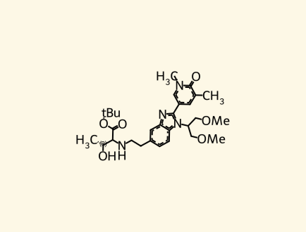 COCC(COC)n1c(-c2cc(C)c(=O)n(C)c2)nc2cc(CCNC(C(=O)OC(C)(C)C)[C@@H](C)O)ccc21